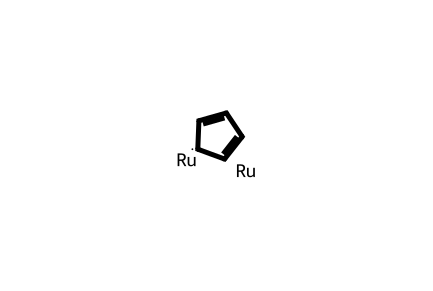 [CH]1C=CC=C1.[Ru].[Ru]